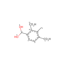 Cc1c(C(=O)O)ccc(C(O)O)c1C(=O)O